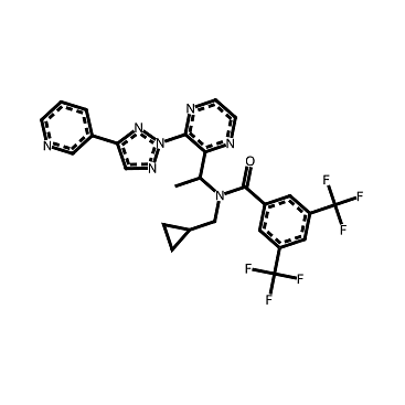 CC(c1nccnc1-n1ncc(-c2cccnc2)n1)N(CC1CC1)C(=O)c1cc(C(F)(F)F)cc(C(F)(F)F)c1